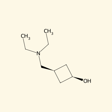 CCN(CC)C[C@H]1C[C@@H](O)C1